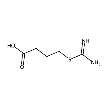 N=C(N)SCCCC(=O)O